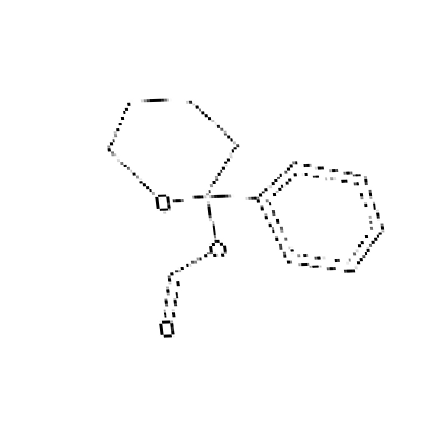 O=COC1(c2ccccc2)CCCCO1